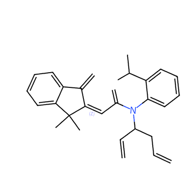 C=CCC(C=C)N(C(=C)/C=C1\C(=C)c2ccccc2C1(C)C)c1ccccc1C(C)C